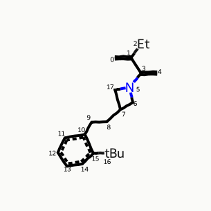 C=C(CC)C(=C)N1CC(CCc2ccccc2C(C)(C)C)C1